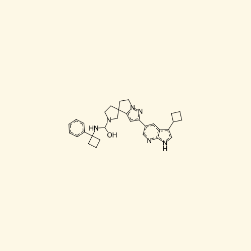 OC(NC1(c2ccccc2)CCC1)N1CCC2(CCn3nc(-c4cnc5[nH]cc(C6CCC6)c5c4)cc32)C1